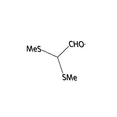 CSC([C]=O)SC